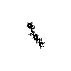 O=C(Nc1ccncc1)c1ccc(NCCc2c[nH]c3ccccc23)cc1